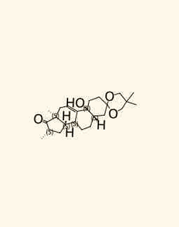 C[C@H]1C[C@H]2[C@@H]3CC[C@H]4CC5(CC[C@@]4(O)C3=CC[C@]2(C)C1=O)OCC(C)(C)CO5